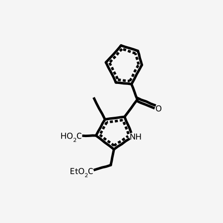 CCOC(=O)Cc1[nH]c(C(=O)c2ccccc2)c(C)c1C(=O)O